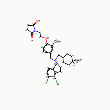 COc1cc(CN(CC2CCC(I)(C(=O)O)CC2)[C@H]2CCc3c2ccc(Cl)c3F)ccc1OCCN1C(=O)CCC1=O